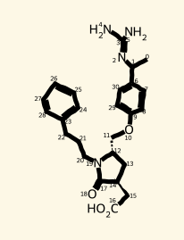 CC(N=C(N)N)c1ccc(OC[C@@H]2C[C@@H](CC(=O)O)C(=O)N2CCCc2ccccc2)cc1